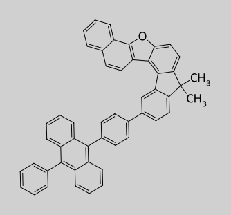 CC1(C)c2ccc(-c3ccc(-c4c5ccccc5c(-c5ccccc5)c5ccccc45)cc3)cc2-c2c1ccc1oc3c4ccccc4ccc3c21